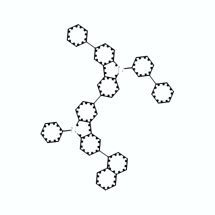 c1ccc(-c2cccc(-n3c4ccc(-c5ccccc5)cc4c4cc(-c5ccc6c(c5)c5cc(-c7cccc8ccccc78)ccc5n6-c5ccccc5)ccc43)c2)cc1